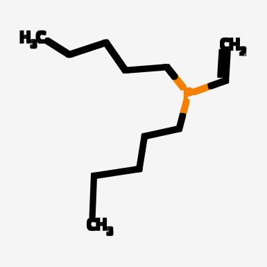 C=CP(CCCCC)CCCCC